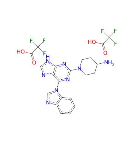 NC1CCN(c2nc(-n3cnc4ccccc43)c3nc[nH]c3n2)CC1.O=C(O)C(F)(F)F.O=C(O)C(F)(F)F